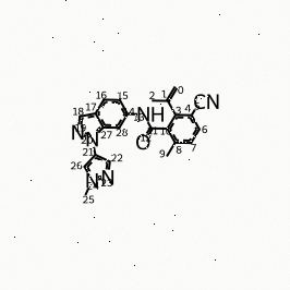 C=C(C)c1c(C#N)ccc(C)c1C(=O)Nc1ccc2cnn(-c3cnn(C)c3)c2c1